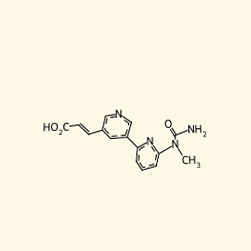 CN(C(N)=O)c1cccc(-c2cncc(/C=C/C(=O)O)c2)n1